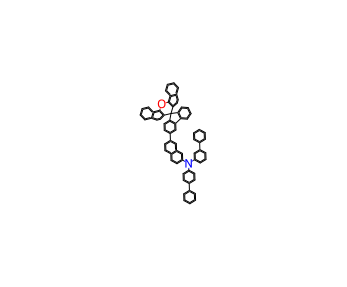 c1ccc(-c2ccc(N(c3cccc(-c4ccccc4)c3)c3ccc4ccc(-c5ccc6c(c5)-c5ccccc5C65c6ccc7ccccc7c6Oc6c5ccc5ccccc65)cc4c3)cc2)cc1